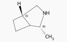 C[C@H]1NC[C@H]2CCC21